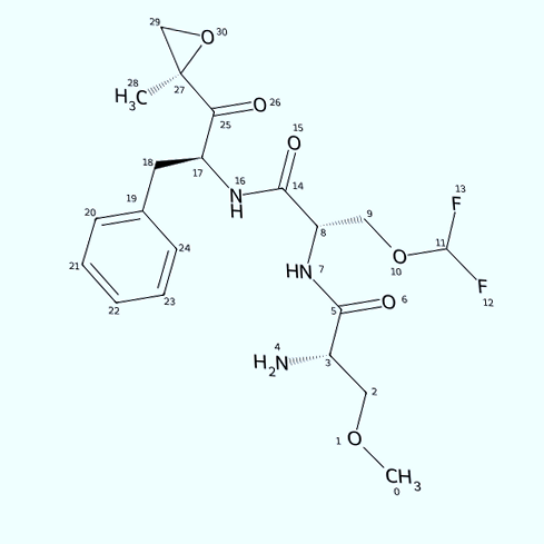 COC[C@H](N)C(=O)N[C@@H](COC(F)F)C(=O)N[C@@H](Cc1ccccc1)C(=O)[C@@]1(C)CO1